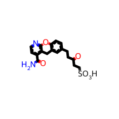 NC(=O)c1ccnc2c1Cc1cc(CCC(=O)CCS(=O)(=O)O)ccc1O2